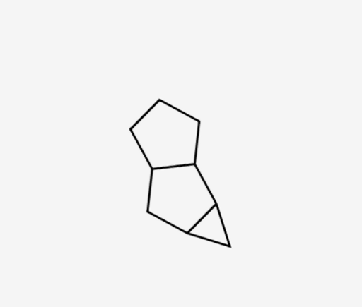 C1CC2CC3CC3C2C1